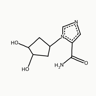 NC(=O)c1cncn1C1CC(O)C(O)C1